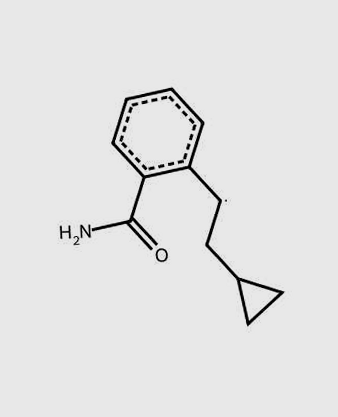 NC(=O)c1ccccc1[CH]CC1CC1